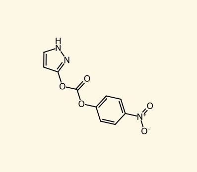 O=C(Oc1ccc([N+](=O)[O-])cc1)Oc1cc[nH]n1